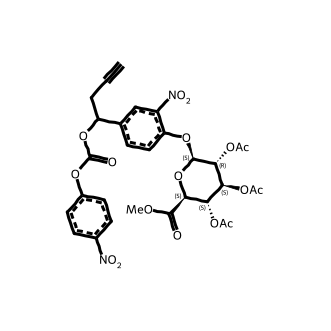 C#CCC(OC(=O)Oc1ccc([N+](=O)[O-])cc1)c1ccc(O[C@@H]2O[C@H](C(=O)OC)[C@@H](OC(C)=O)[C@H](OC(C)=O)[C@H]2OC(C)=O)c([N+](=O)[O-])c1